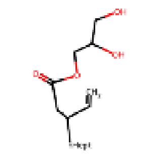 C=CC(CCCCCCC)CC(=O)OCC(O)CO